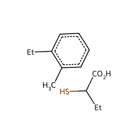 CCC(S)C(=O)O.CCc1ccccc1C